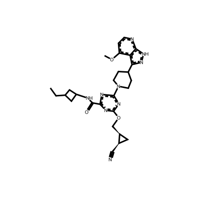 CCC1CC(NC(=O)c2nc(OC[C@H]3C[C@H]3C#N)nc(N3CCC(c4n[nH]c5nccc(OC)c45)CC3)n2)C1